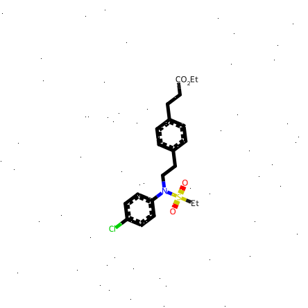 CCOC(=O)CCc1ccc(CCN(c2ccc(Cl)cc2)S(=O)(=O)CC)cc1